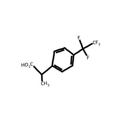 CC(C(=O)O)c1ccc(C(F)(F)C(F)(F)F)cc1